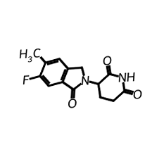 Cc1cc2c(cc1F)C(=O)N(C1CCC(=O)NC1=O)C2